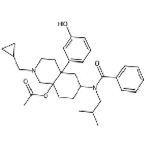 CC(=O)OC12CCC(N(CC(C)C)C(=O)c3ccccc3)CC1(c1cccc(O)c1)CCN(CC1CC1)C2